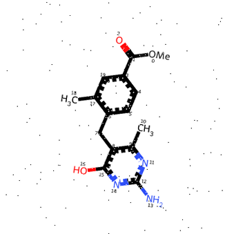 COC(=O)c1ccc(Cc2c(C)nc(N)nc2O)c(C)c1